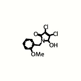 COc1ccccc1CN1C(=O)C(Cl)=C(Cl)C1O